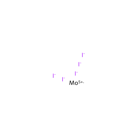 [I-].[I-].[I-].[I-].[I-].[Mo+5]